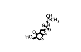 CN(C)C=NS(=O)(=O)c1cc2c(s1)SCC(=CO)C2=O